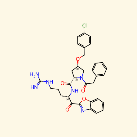 N=C(N)NCCC[C@H](NC(=O)[C@@H]1C[C@@H](OCc2ccc(Cl)cc2)CN1C(=O)Cc1ccccc1)C(=O)c1nc2ccccc2o1